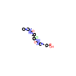 Cc1c(NC(=O)c2nc3c(n2C)CCN(C2CCCCC2)C3)cccc1-c1cccc(NC(=O)c2nc3c(n2C)CCN(CC[C@H]2CC[C@H](C(=O)O)CC2)C3)c1Cl